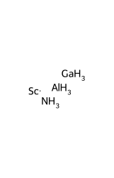 N.[AlH3].[GaH3].[Sc]